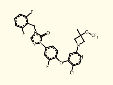 CC1(OC(F)(F)F)CN(c2cc(Oc3ccc(-n4ncn(Cc5c(F)cccc5F)c4=O)cc3F)c(Cl)cn2)C1